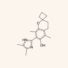 Cc1nc(-c2c(C)c3c(c(C)c2O)CCC2(CCC2)O3)[nH]c1C